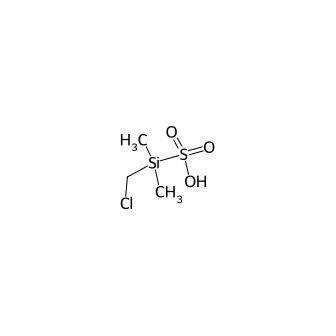 C[Si](C)(CCl)S(=O)(=O)O